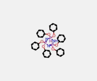 c1ccc(OP2(Oc3ccccc3)=N[PH](Oc3ccccc3)(Oc3ccccc3)NP(Oc3ccccc3)(Oc3ccccc3)=N2)cc1